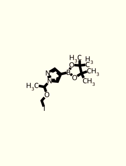 CC(OCI)n1cc(B2OC(C)(C)C(C)(C)O2)cn1